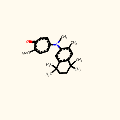 COc1ccc(N(C)c2cc3c(cc2C)C(C)(C)CCC3(C)C)ccc1=O